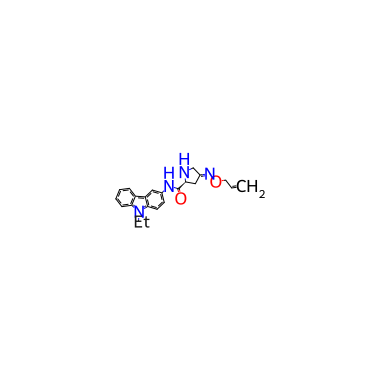 C=CCO/N=C1/CN[C@H](C(=O)Nc2ccc3c(c2)c2ccccc2n3CC)C1